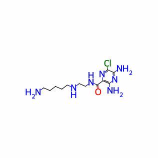 NCCCCCNCCNC(=O)c1nc(Cl)c(N)nc1N